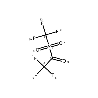 O=C(C(F)(F)F)S(=O)(=O)C(F)(F)F